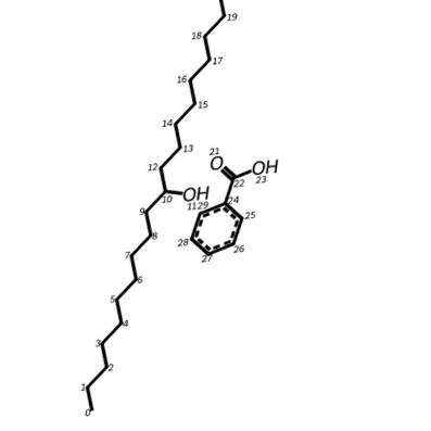 CCCCCCCCCCC(O)CCCCCCCCC.O=C(O)c1ccccc1